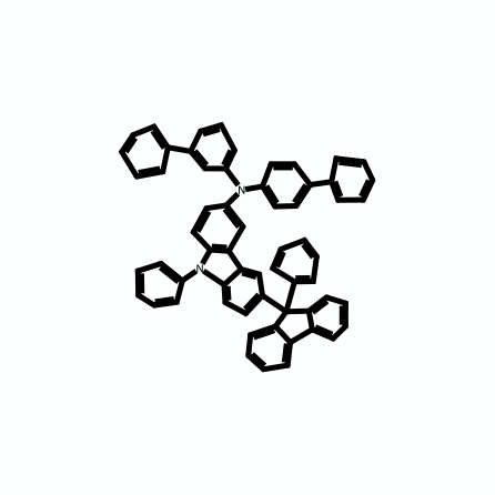 c1ccc(-c2ccc(N(c3cccc(-c4ccccc4)c3)c3ccc4c(c3)c3cc(C5(c6ccccc6)c6ccccc6-c6ccccc65)ccc3n4-c3ccccc3)cc2)cc1